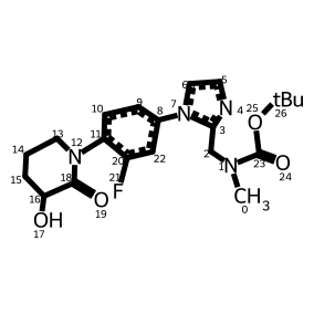 CN(Cc1nccn1-c1ccc(N2CCCC(O)C2=O)c(F)c1)C(=O)OC(C)(C)C